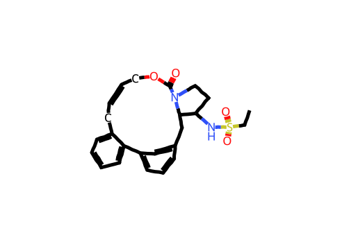 CCS(=O)(=O)NC1CCN2C(=O)OC/C=C\Cc3ccccc3-c3cccc(c3)CC12